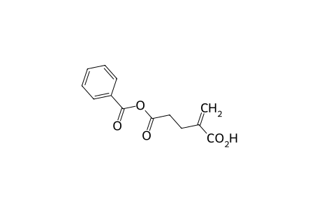 C=C(CCC(=O)OC(=O)c1ccccc1)C(=O)O